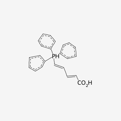 O=C(O)C=CC=C[PH](c1ccccc1)(c1ccccc1)c1ccccc1